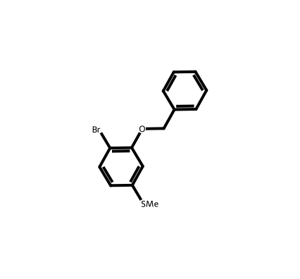 CSc1ccc(Br)c(OCc2ccccc2)c1